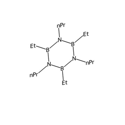 CCCN1B(CC)N(CCC)B(CC)N(CCC)B1CC